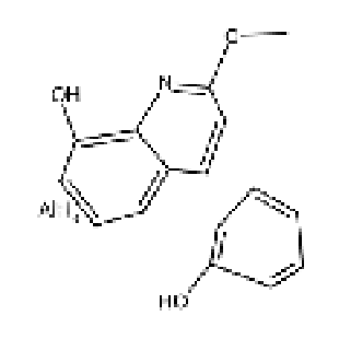 COc1ccc2cccc(O)c2n1.Oc1ccccc1.[AlH3]